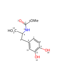 COC(=O)NC(Cc1ccc(O)c(O)c1)C(=O)O